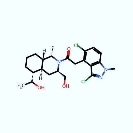 C[C@H]1[C@H]2CCC[C@@H](C(O)C(F)(F)F)[C@@H]2C[C@H](CO)N1C(=O)Cc1c(Cl)ccc2c1c(Cl)nn2C